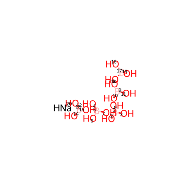 OB(O)O.OB(O)O.OB(O)O.OB(O)O.OB(O)O.[NaH]